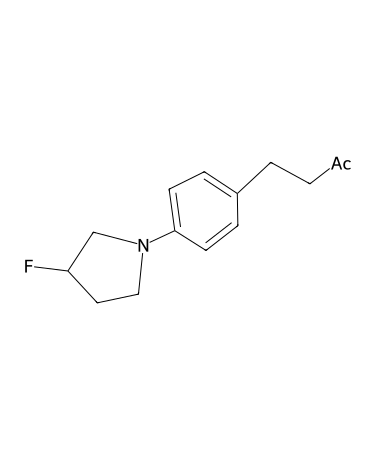 CC(=O)CCc1ccc(N2CCC(F)C2)cc1